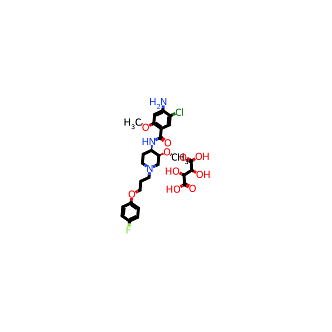 COc1cc(N)c(Cl)cc1C(=O)N[C@@H]1CCN(CCCOc2ccc(F)cc2)C[C@@H]1OC.O=C(O)C(O)C(O)C(=O)O